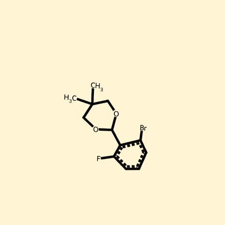 CC1(C)COC(c2c(F)cccc2Br)OC1